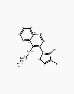 C[O][Ti+2][c]1c(C2=C(C)C(C)=CC2)ccc2ccccc12.[Cl-].[Cl-]